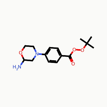 CC(C)(C)OOC(=O)c1ccc(N2CCOC(N)C2)cc1